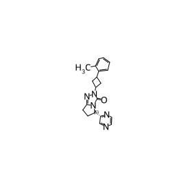 Cc1ccccc1C1CC(n2nc3n(c2=O)[C@H](c2cnccn2)CC3)C1